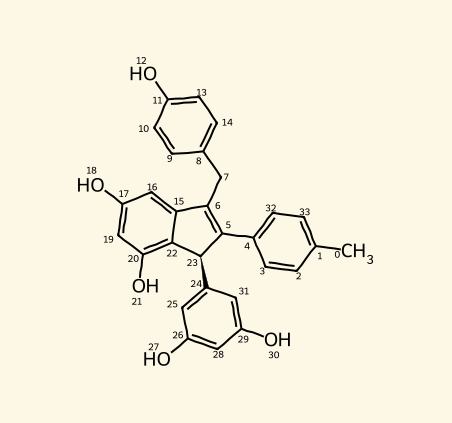 Cc1ccc(C2=C(Cc3ccc(O)cc3)c3cc(O)cc(O)c3[C@@H]2c2cc(O)cc(O)c2)cc1